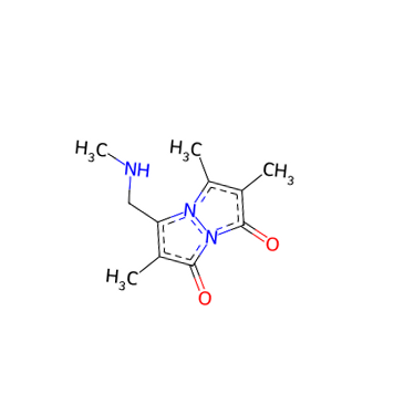 CNCc1c(C)c(=O)n2c(=O)c(C)c(C)n12